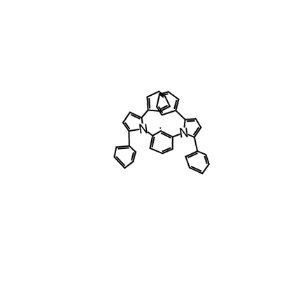 [c]1c(-n2c(-c3ccccc3)ccc2-c2ccccc2)cccc1-n1c(-c2ccccc2)ccc1-c1ccccc1